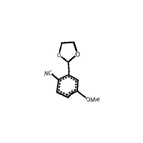 COc1ccc(C#N)c(C2OCCO2)c1